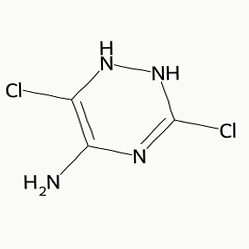 NC1=C(Cl)NNC(Cl)=N1